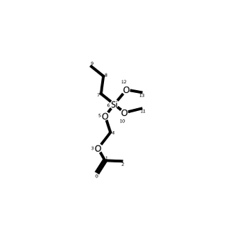 C=C(C)OCO[Si](CCC)(OC)OC